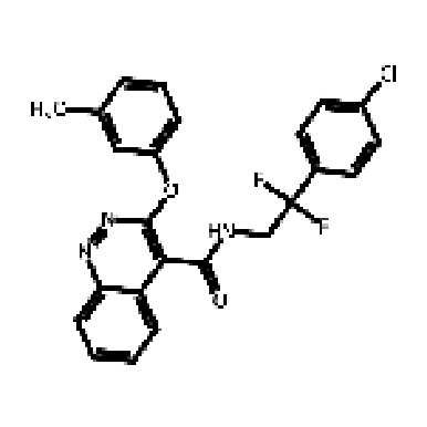 Cc1cccc(Oc2nnc3ccccc3c2C(=O)NCC(F)(F)c2ccc(Cl)cc2)c1